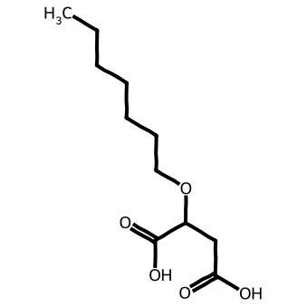 CCCCCCCOC(CC(=O)O)C(=O)O